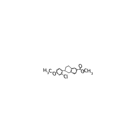 COC(=O)c1ccc2c(c1)CCC(c1ccc(OC)cc1Cl)C2